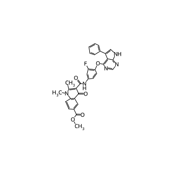 COC(=O)c1ccc2c(c1)c(=O)c(C(=O)Nc1ccc(Oc3ncnc4[nH]cc(-c5ccccc5)c34)c(F)c1)c(C)n2C